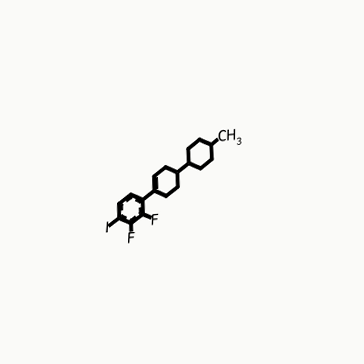 CC1CCC(C2CC=C(c3ccc(I)c(F)c3F)CC2)CC1